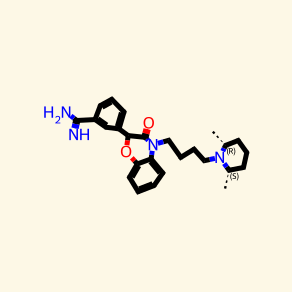 C[C@@H]1CCC[C@H](C)N1CCCCN1C(=O)C(c2cccc(C(=N)N)c2)Oc2ccccc21